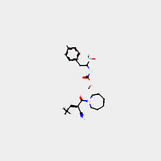 Cc1ccc(CC(NC(=O)OC[C@@H]2CCCCCN2C(=O)C(C#N)=CC(C)(C)C)B(O)O)cc1